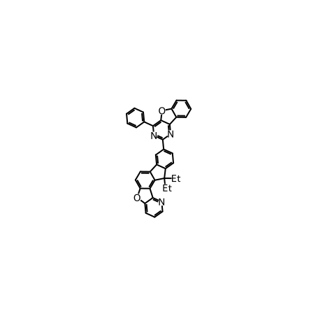 CCC1(CC)c2ccc(-c3nc(-c4ccccc4)c4oc5ccccc5c4n3)cc2-c2ccc3oc4cccnc4c3c21